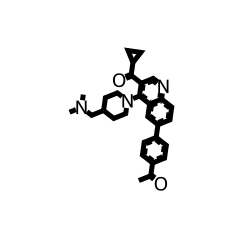 CC(=O)c1ccc(-c2ccc3ncc(C(=O)C4CC4)c(N4CCC(CN(C)C)CC4)c3c2)cc1